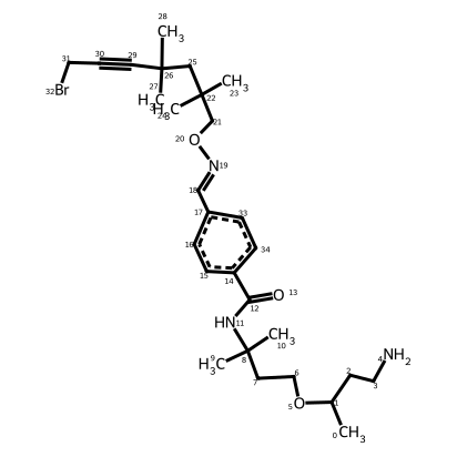 CC(CCN)OCCC(C)(C)NC(=O)c1ccc(/C=N/OCC(C)(C)CC(C)(C)C#CCBr)cc1